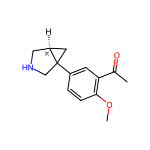 COc1ccc(C23CNC[C@H]2C3)cc1C(C)=O